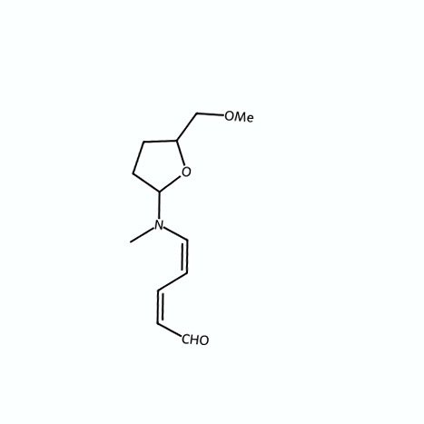 COCC1CCC(N(C)/C=C\C=C/C=O)O1